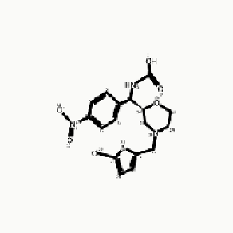 O=C(O)NC(c1ccc([N+](=O)[O-])cc1)[C@@H]1CN(Cc2ccc(Cl)s2)CCO1